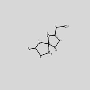 CC1CSC2(OC(CCl)CS2)S1